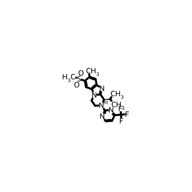 Cc1cc2nc3n(c2cc1S(C)(=O)=O)CCN(c1nccc(C(F)(F)F)n1)[C@@H]3C(C)C